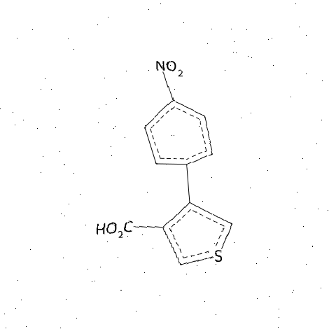 O=C(O)c1cscc1-c1ccc([N+](=O)[O-])cc1